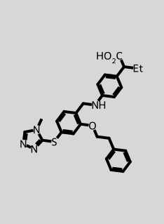 CCC(C(=O)O)c1ccc(NCc2ccc(Sc3nncn3C)cc2OCCc2ccccc2)cc1